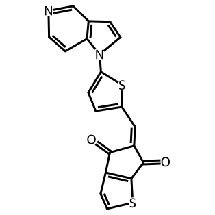 O=C1/C(=C\c2ccc(-n3ccc4cnccc43)s2)C(=O)c2sccc21